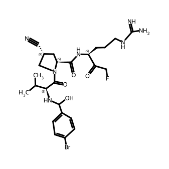 CC(C)[C@H](NC(O)c1ccc(Br)cc1)C(=O)N1C[C@H](C#N)C[C@H]1C(=O)N[C@@H](CCCNC(=N)N)C(=O)CF